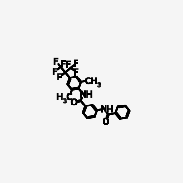 Cc1cc(C(F)(C(F)(F)F)C(F)(F)F)cc(C)c1NC(=O)c1cccc(NC(=O)c2ccccc2)c1